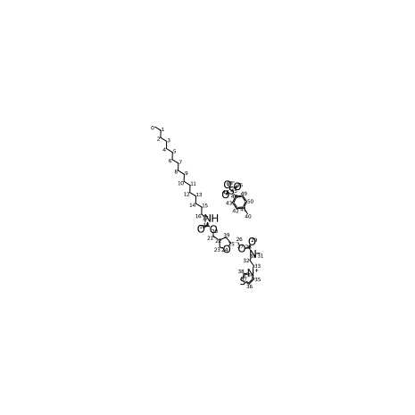 CCCCCCCCCCCCCCCCCNC(=O)OC[C@@H]1CO[C@@H](COC(=O)N(C)CC[n+]2ccsc2)C1.Cc1ccc(S(=O)(=O)[O-])cc1